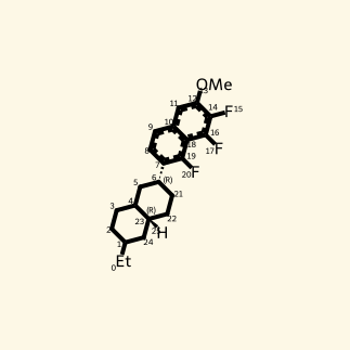 CCC1CCC2C[C@H](c3ccc4cc(OC)c(F)c(F)c4c3F)CC[C@@H]2C1